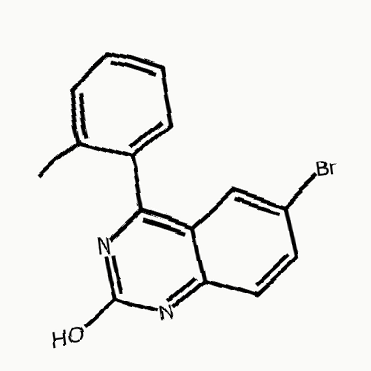 Cc1ccccc1-c1nc(O)nc2ccc(Br)cc12